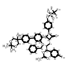 CC(=O)O[C@@H](CC[C@H]1C(=O)N(c2ccc(OS(=O)(=O)C(F)(F)F)cc2)[C@@H]1c1ccc(-c2ccc(C3(O)COC(C)(C)OC3)cc2)cc1OCc1ccccc1)c1ccc(F)cc1